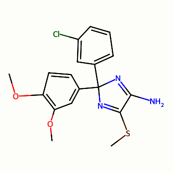 COc1ccc(C2(c3cccc(Cl)c3)N=C(N)C(SC)=N2)cc1OC